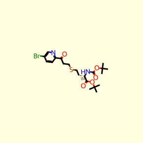 CC(C)(C)OC(=O)N[C@@H](CCSCCC(=O)c1ccc(Br)cn1)C(=O)OC(C)(C)C